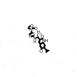 C[C@H](Nc1ncc(N2CCOC2=O)s1)c1cc2cc(Cl)c(C3CC3)cc2[nH]c1=O